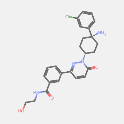 N[C@]1(c2cccc(Cl)c2)CC[C@H](n2nc(-c3cccc(C(=O)NCCO)c3)ccc2=O)CC1